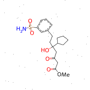 COC(=O)CC(=O)CC(O)(CCc1cccc(S(N)(=O)=O)c1)C1CCCC1